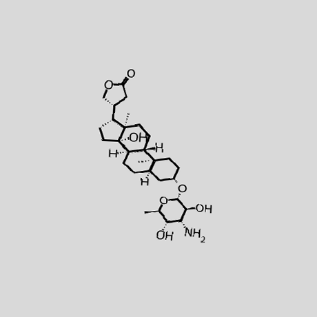 C[C@H]1O[C@H](O[C@H]2CC[C@@]3(C)[C@H](CC[C@@H]4[C@@H]3CC[C@]3(C)[C@@H]([C@@H]5COC(=O)C5)CC[C@]43O)C2)[C@@H](O)[C@H](N)[C@@H]1O